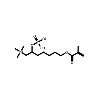 C=C(C)C(=O)OCCCCCC(C[N+](C)(C)C)OP(=O)(O)O